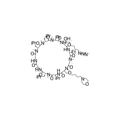 CC[C@@H]1NC(=O)[C@H]([C@H](O)[C@H](C)CCCCN=[N+]=[N-])NC(=O)[C@H](C(C)C)N(C)C(=O)[C@H](CC(C)C)N(C)C(=O)[C@H](CC(C)C)N(C)C(=O)[C@@H](C)NC(=O)[C@H](C)NC(=O)[C@H](CC(C)C)N(C)C(=O)[C@H](C(C)C)NC(=O)[C@H]([C@@H](C)OCCCCN2CCOCC2)N(C)C(=O)[C@@H](C)N(C)C1=O